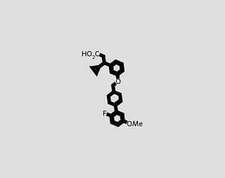 COc1ccc(F)c(C2=CCC(COc3cccc(C(CC(=O)O)C4CC4)c3)CC2)c1